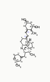 C=C1/C(=C\C=C2/CCC[C@]3(C)[C@@H](C(C)CCN4CCO[C@@H](C)C4)CC[C@@H]23)C[C@@H](O)C[C@H]1O